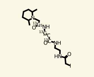 CC1CCCC(C)N1C[13C](=O)[15NH][13CH2][13CH2][13C](=O)NCCNC(=O)CI